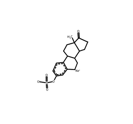 CC12CCC3c4ccc(OS(=O)(=O)[O-])cc4CCC3C1CCC2=O.[Na+]